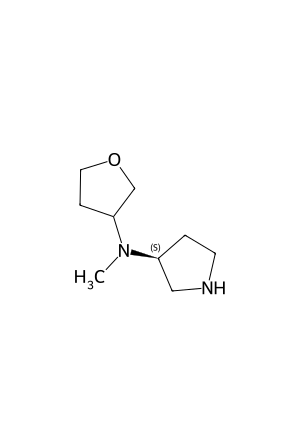 CN(C1CCOC1)[C@H]1CCNC1